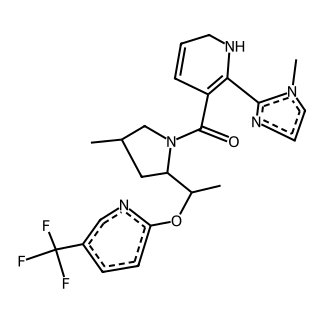 CC1CC(C(C)Oc2ccc(C(F)(F)F)cn2)N(C(=O)C2=C(c3nccn3C)NCC=C2)C1